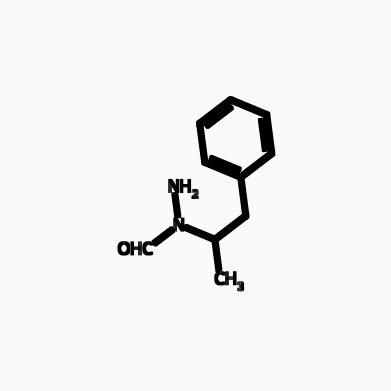 CC(Cc1ccccc1)N(N)C=O